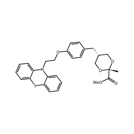 COC(=O)[C@]1(C)OC[C@H](Cc2ccc(OCCN3c4ccccc4Sc4ccccc43)cc2)CO1